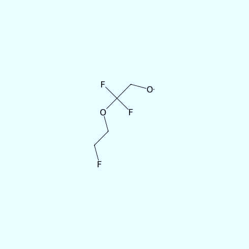 [O]CC(F)(F)OCCF